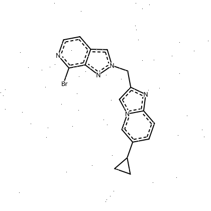 Brc1nccc2cn(Cc3cn4cc(C5CC5)ccc4n3)nc12